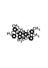 Cc1cc(C)c(N(c2ccccc2)c2ccc3c(c2)[Si](C)(C)c2cccc4c(N(c5ccccc5)c5c(C)cc(C)cc5C)ccc-3c24)c(C)c1